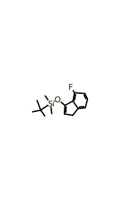 CC(C)(C)[Si](C)(C)OC1=CCc2cccc(F)c21